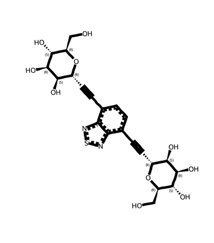 OC[C@H]1O[C@H](C#Cc2ccc(C#C[C@H]3O[C@H](CO)[C@@H](O)[C@H](O)[C@@H]3O)c3nsnc23)[C@@H](O)[C@@H](O)[C@@H]1O